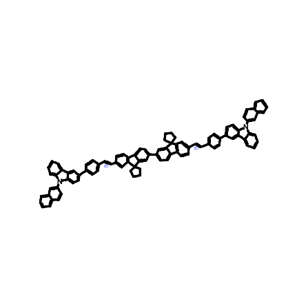 C(=C\c1ccc2c(c1)C1(CCCC1)c1cc(-c3ccc4c(c3)C3(CCCC3)c3cc(/C=C/c5ccc(-c6ccc7c(c6)c6ccccc6n7-c6ccc7ccccc7c6)cc5)ccc3-4)ccc1-2)/c1ccc(-c2ccc3c(c2)c2ccccc2n3-c2ccc3ccccc3c2)cc1